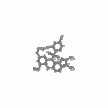 COc1cc(CC(=O)O)ccc1Oc1ccc2c(cc(C)n2C)c1NS(=O)(=O)c1ccc(Cl)cc1Cl